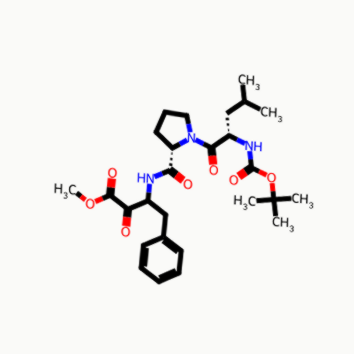 COC(=O)C(=O)C(Cc1ccccc1)NC(=O)[C@@H]1CCCN1C(=O)[C@H](CC(C)C)NC(=O)OC(C)(C)C